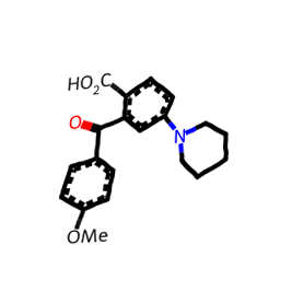 COc1ccc(C(=O)c2cc(N3CCCCC3)ccc2C(=O)O)cc1